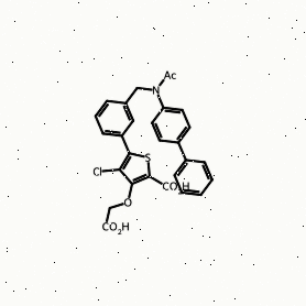 CC(=O)N(Cc1cccc(-c2sc(C(=O)O)c(OCC(=O)O)c2Cl)c1)c1ccc(-c2ccccc2)cc1